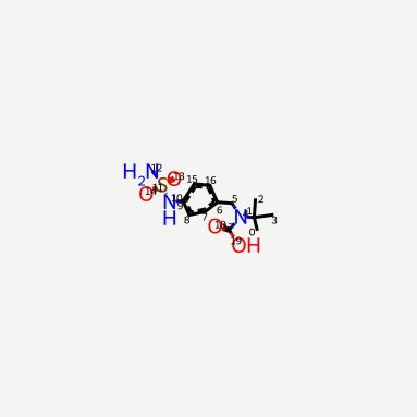 CC(C)(C)N(Cc1ccc(NS(N)(=O)=O)cc1)C(=O)O